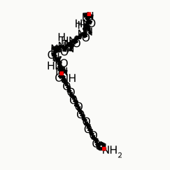 Cn1cc(NC(=O)c2nccn2C)cc1C(=O)NCCC(=O)Nc1cn(C)c(C(=O)Nc2cc(C(=O)N3CC(C(=O)Nc4cn(C)c(C(=O)NCCOCCOCCOCCOCCOCCOCCOCCOCCOc5ccc(N)cc5)n4)C3)n(C)c2)n1